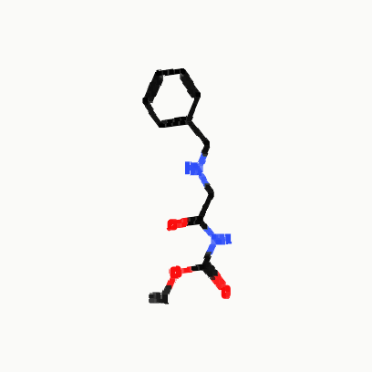 CC(C)(C)OC(=O)NC(=O)CNCc1ccccc1